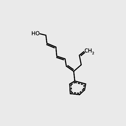 C=CCC(=C/C=C/C=C/CO)c1ccccc1